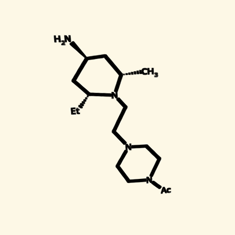 CC[C@@H]1C[C@@H](N)C[C@H](C)N1CCN1CCN(C(C)=O)CC1